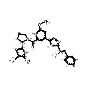 COc1cc(-c2nnc([C@H](C)Cc3ccccc3)o2)cc(C(=O)N2CCC[C@@H]2c2nc(C)c(C)s2)n1